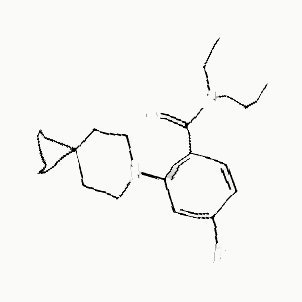 CCN(CC)C(=O)c1ccc(Br)cc1N1CCC2(CC1)CC2